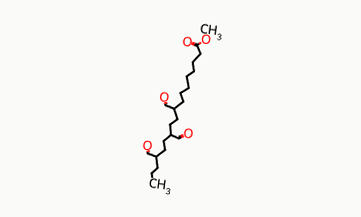 CCCC(C=O)CCC(C=O)CCC(C=O)CCCCCCCC(=O)OC